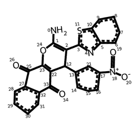 NC1=C(c2nc3ccccc3s2)C(c2cccc([N+](=O)[O-])c2)C2=C(O1)C(=O)c1ccccc1C2=O